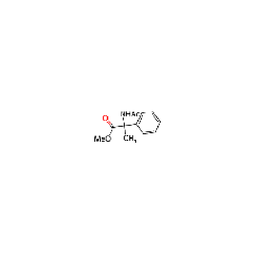 COC(=O)C(C)(NC(C)=O)c1ccccc1